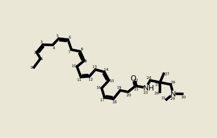 CC/C=C\C/C=C\C/C=C\C/C=C\C/C=C\C/C=C\CCC(=O)NCC(C)(C)CN(C)C